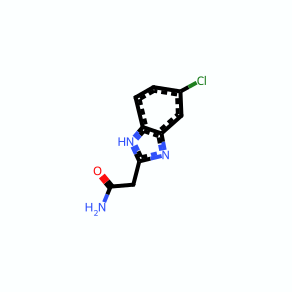 NC(=O)Cc1nc2cc(Cl)ccc2[nH]1